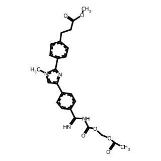 COC(=O)CCc1ccc(-c2nc(-c3ccc(C(=N)NC(=O)OCOC(C)=O)cc3)cn2C)cc1